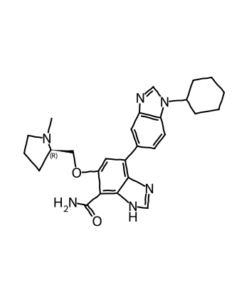 CN1CCC[C@@H]1COc1cc(-c2ccc3c(c2)ncn3C2CCCCC2)c2nc[nH]c2c1C(N)=O